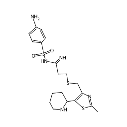 Cc1nc(CSCCC(=N)NS(=O)(=O)c2ccc(N)cc2)c(C2CCCCN2)s1